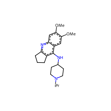 COc1cc2nc3c(c(NC4CCN(C(C)C)CC4)c2cc1OC)CCC3